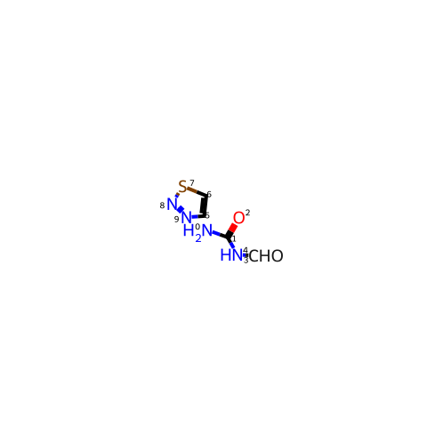 NC(=O)NC=O.c1csnn1